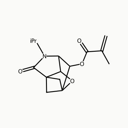 C=C(C)C(=O)OC1C2C3OC14CC3(C4)C(=O)N2C(C)C